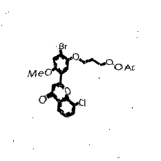 COc1cc(Br)c(OCCCOOC(C)=O)cc1-c1cc(=O)c2cccc(Cl)c2o1